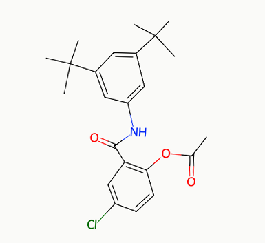 CC(=O)Oc1ccc(Cl)cc1C(=O)Nc1cc(C(C)(C)C)cc(C(C)(C)C)c1